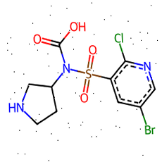 O=C(O)N(C1CCNC1)S(=O)(=O)c1cc(Br)cnc1Cl